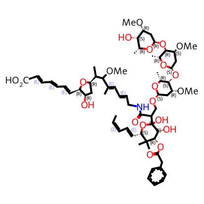 C/C=C\C=C\[C@@H]1O[C@](O)(C(CO[C@@H]2C[C@@H](OC)[C@@H](O[C@H]3C[C@H](OC)[C@H](O[C@@H]4C[C@@H](OC)[C@@H](O)[C@@H](C)O4)[C@@H](C)O3)[C@@H](C)O2)C(=O)NC/C=C/C=C(\C)C(OC)C(C)[C@H]2C[C@@H](O)[C@@H](/C=C/C=C/C=C/C(=O)O)O2)[C@H](O)[C@H](OC(=O)Cc2ccccc2)C1(C)C